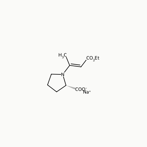 CCOC(=O)C=C(C)N1CCC[C@H]1C(=O)[O-].[Na+]